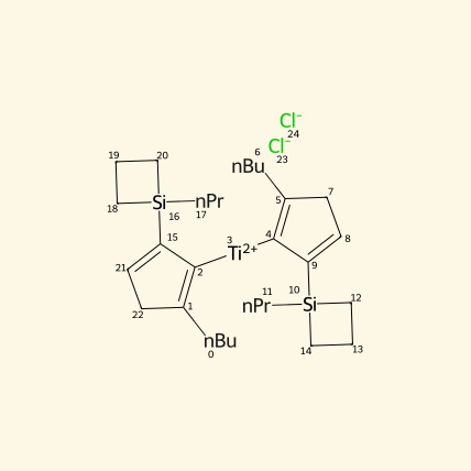 CCCCC1=[C]([Ti+2][C]2=C(CCCC)CC=C2[Si]2(CCC)CCC2)C([Si]2(CCC)CCC2)=CC1.[Cl-].[Cl-]